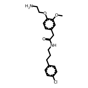 COc1cc(CC(=O)NCCCc2ccc(Cl)cc2)ccc1OCCN